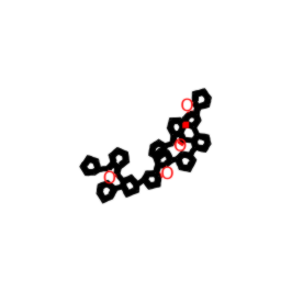 c1ccc(-c2ccc(-c3ccc4oc5c(-c6cccc(-c7cccc(-c8ccc9oc%10ccccc%10c9c8)c7-c7oc(-c8ccccc8)c8ccccc78)c6)cccc5c4c3)cc2-c2oc(-c3ccccc3)c3ccccc23)cc1